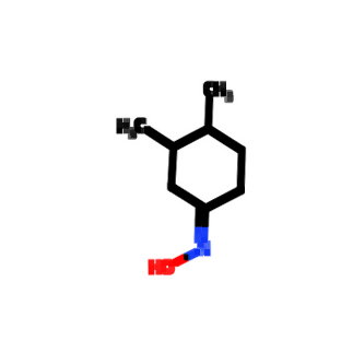 CC1CCC(=NO)CC1C